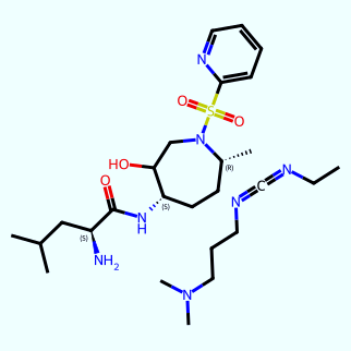 CC(C)C[C@H](N)C(=O)N[C@H]1CC[C@@H](C)N(S(=O)(=O)c2ccccn2)CC1O.CCN=C=NCCCN(C)C